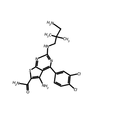 CC(C)(CN)CNc1nc(-c2ccc(Cl)c(Cl)c2)c2c(N)c(C(N)=O)sc2n1